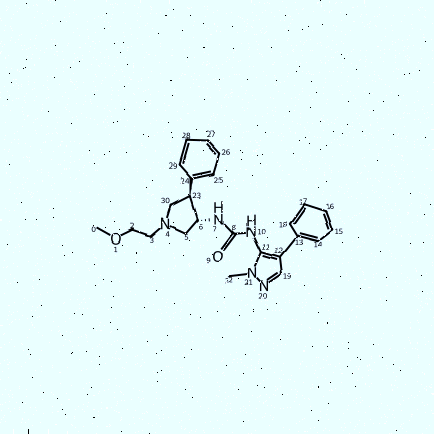 COCCN1C[C@@H](NC(=O)Nc2c(-c3ccccc3)cnn2C)[C@H](c2ccccc2)C1